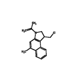 C=C(C)N1CC(CCl)c2c1cc(C)c1ccccc21